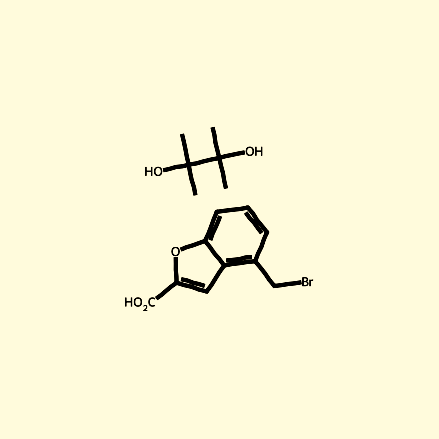 CC(C)(O)C(C)(C)O.O=C(O)c1cc2c(CBr)cccc2o1